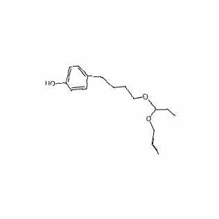 CCCOC(CC)OCCCCc1ccc(O)cc1